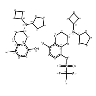 O=S(=O)(Oc1ccc(F)c2c1C[C@@H](N(C1CCCC1)C1CCC1)CO2)C(F)(F)F.Oc1ccc(F)c2c1C[C@@H](N(C1CCCC1)C1CCC1)CO2